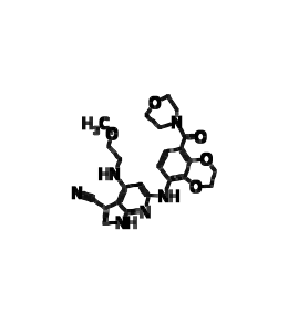 COCCNc1cc(Nc2ccc(C(=O)N3CCOCC3)c3c2OCCO3)nc2[nH]cc(C#N)c12